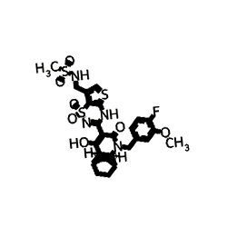 COc1cc(CN2C(=O)C(C3=NS(=O)(=O)c4c(CNS(C)(=O)=O)csc4N3)=C(O)[C@@H]3C4CCC(CC4)[C@@H]32)ccc1F